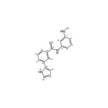 CNc1cccc(NC(=O)c2cccc(-c3ccn[nH]3)n2)c1